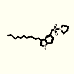 CCCCCCCCCCc1c[nH]c2ccc(CS(=O)(=O)N3CCCC3)cc12